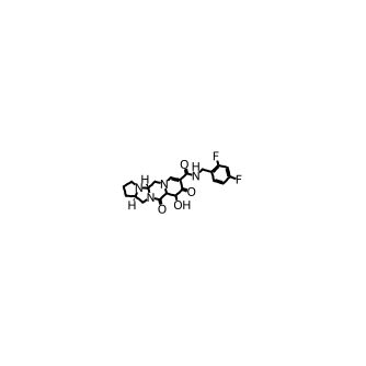 O=C(NCc1ccc(F)cc1F)C1=CN2C[C@@H]3N(C[C@H]4CCCN43)C(=O)C2C(O)C1=O